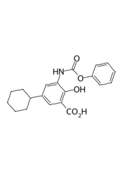 O=C(Nc1cc(C2CCCCC2)cc(C(=O)O)c1O)Oc1ccccc1